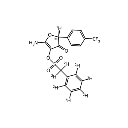 [2H]c1c([2H])c([2H])c(C([2H])([2H])S(=O)(=O)OC2=C(N)O[C@]([2H])(c3ccc(C(F)(F)F)cc3)C2=O)c([2H])c1[2H]